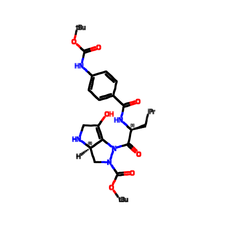 CC(C)C[C@H](NC(=O)c1ccc(NC(=O)OC(C)(C)C)cc1)C(=O)N1C2=C(O)CN[C@@H]2CN1C(=O)OC(C)(C)C